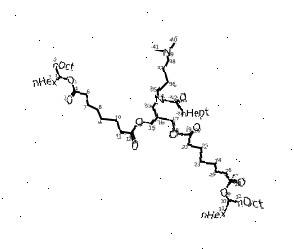 CCCCCCCCC(CCCCCC)OC(=O)CCCCCCC(=O)OCC(COC(=O)CCCCCCC(=O)OC(CCCCCC)CCCCCCCC)CN(CCCCN(C)C)C(=O)CCCCCCC